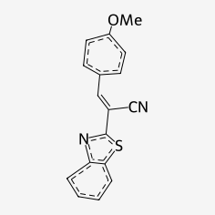 COc1ccc(C=C(C#N)c2nc3ccccc3s2)cc1